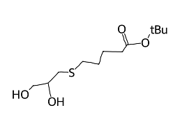 CC(C)(C)OC(=O)CCCCSCC(O)CO